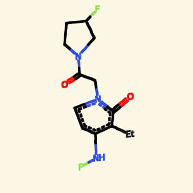 CCc1c(NF)ccn(CC(=O)N2CCC(F)C2)c1=O